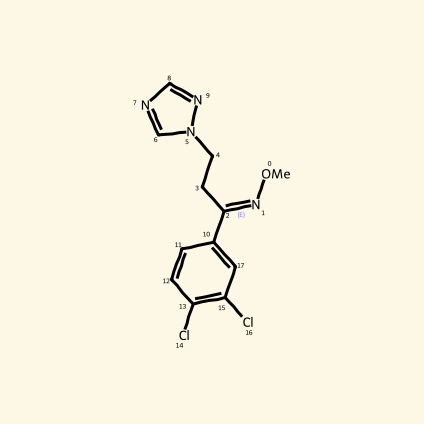 CO/N=C(\CCn1cncn1)c1ccc(Cl)c(Cl)c1